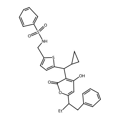 CCC(Cc1ccccc1)c1cc(O)c(C(c2ccc(CNS(=O)(=O)c3ccccc3)s2)C2CC2)c(=O)o1